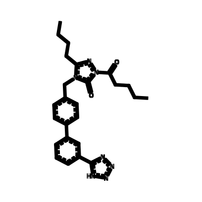 CCCCC(=O)n1nc(CCCC)n(Cc2ccc(-c3cccc(-c4nnn[nH]4)c3)cc2)c1=O